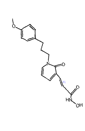 COc1ccc(CCCn2cccc(/C=C/C(=O)NO)c2=O)cc1